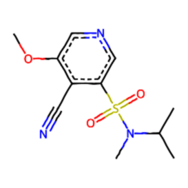 COc1cncc(S(=O)(=O)N(C)C(C)C)c1C#N